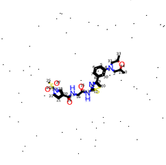 CC1CN(c2cccc(-c3csc(NC(=O)CNC(=O)c4ccn(S(C)(=O)=O)c4)n3)c2)CC(C)O1